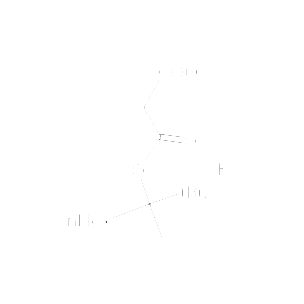 CCCCCCC(C)(OC(=O)CC(=O)[O-])C(C)(C)C.[K+]